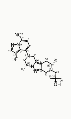 C[C@@H]1CN(c2ccc(C#N)n3ncc(F)c23)Cc2c3c(nn21)CN(CC(C)(C)O)[C@@H](C)C3